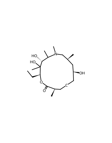 CC[C@@H]1OC(=O)[C@H](C)CCC[C@H](O)C[C@H](C)CN(C)C(C)[C@@H](O)C1(C)O